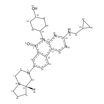 O=c1c2cc(N3CCN4CCC[C@H]4C3)ccc2c2cnc(NCC3CC3)nc2n1C1CCC(O)CC1